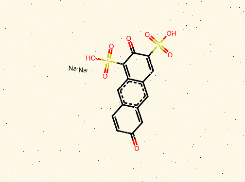 O=C1C=Cc2cc3c(cc2=C1)C=C(S(=O)(=O)O)C(=O)C=3S(=O)(=O)O.[Na].[Na]